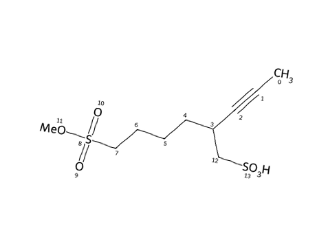 CC#CC(CCCCS(=O)(=O)OC)CS(=O)(=O)O